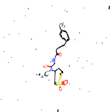 CN(C(=O)CNC(=O)/C=C/c1ccc(C(F)(F)F)cc1)C1CCS(=O)(=O)C1